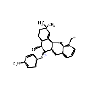 CC1(C)C=C2C(CC1)C(=O)/C(=N\c1ccc([N+](=O)[O-])cc1)C1=Cc3cccc(O)c3NC12